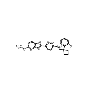 COc1ccc2nc(-c3ccc(NCC4(c5ncccc5F)CCC4)nn3)sc2n1